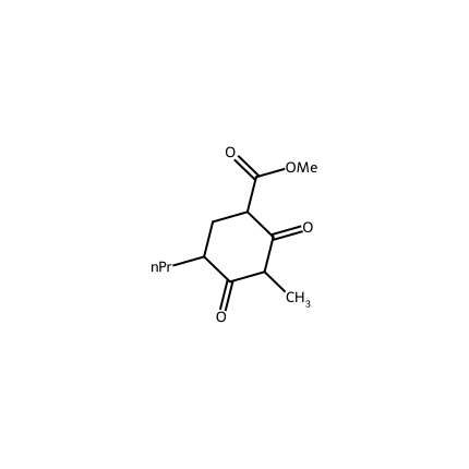 CCCC1CC(C(=O)OC)C(=O)C(C)C1=O